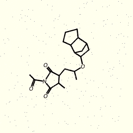 CC(=O)N1C(=O)C(C)C(CC(C)OC2CC3CC2C2CCCC32)C1=O